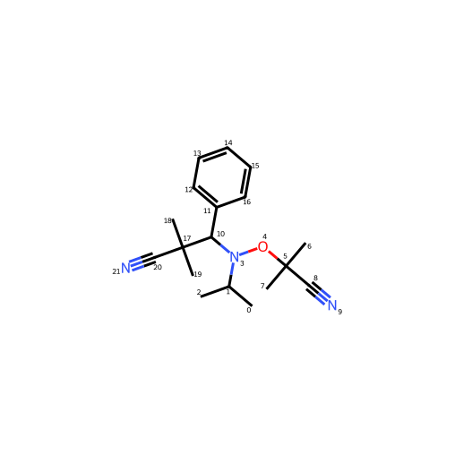 CC(C)N(OC(C)(C)C#N)C(c1ccccc1)C(C)(C)C#N